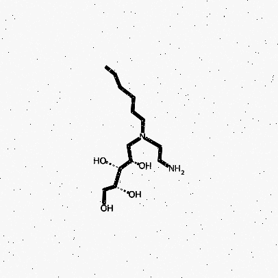 CCCCCCN(CCN)C[C@H](O)[C@@H](O)[C@H](O)CO